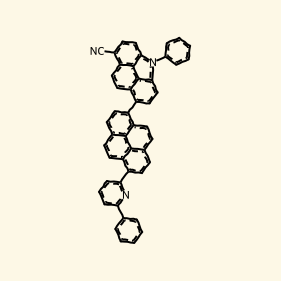 N#Cc1ccc2c3c1ccc1c(-c4ccc5ccc6c(-c7cccc(-c8ccccc8)n7)ccc7ccc4c5c76)ccc(c13)n2-c1ccccc1